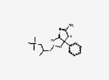 CC(COOC(NC(=N)N)(C(=O)O)c1ccccc1)CC(C)(C)C